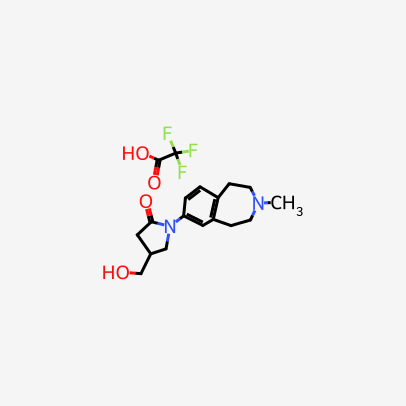 CN1CCc2ccc(N3CC(CO)CC3=O)cc2CC1.O=C(O)C(F)(F)F